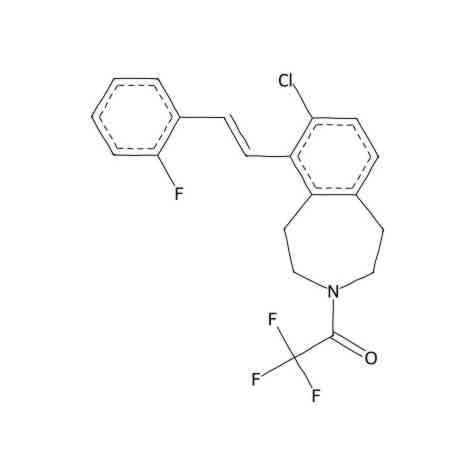 O=C(N1CCc2ccc(Cl)c(/C=C/c3ccccc3F)c2CC1)C(F)(F)F